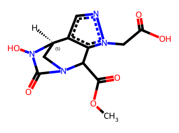 COC(=O)C1c2c(cnn2CC(=O)O)[C@H]2CN1C(=O)N2O